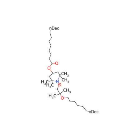 CCCCCCCCCCCCCCCCCC(=O)OC1CC(C)(C)N(OCC(C)(C)OCCCCCCCCCCCCCCCC)C(C)(C)C1